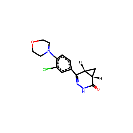 O=C1NN=C(c2ccc(N3CCOCC3)c(Cl)c2)[C@@H]2C[C@H]12